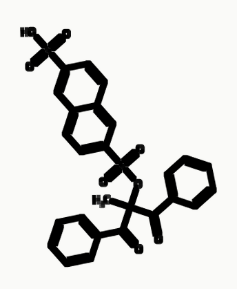 CC(OS(=O)(=O)c1ccc2cc(S(=O)(=O)O)ccc2c1)(C(=O)c1ccccc1)C(=O)c1ccccc1